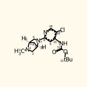 CN1C[C@H]2C[C@@H]1CN2c1cc(NC(=O)OC(C)(C)C)c(Cl)cn1